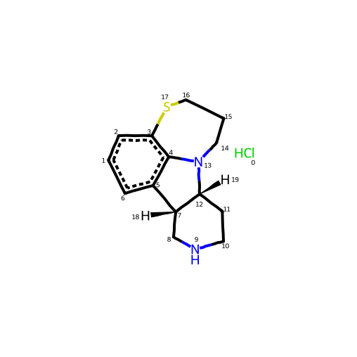 Cl.c1cc2c3c(c1)[C@H]1CNCC[C@H]1N3CCCS2